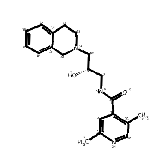 Cc1cc(C(=O)NC[C@H](O)CN2CCc3ccccc3C2)c(C)cn1